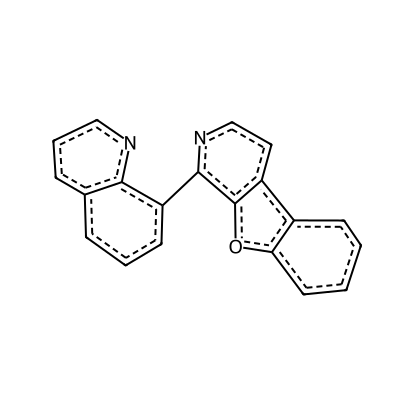 c1cnc2c(-c3nccc4c3oc3ccccc34)cccc2c1